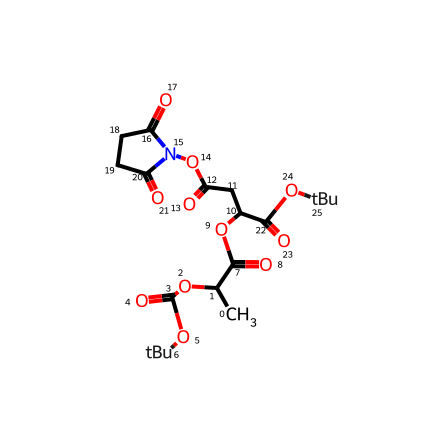 CC(OC(=O)OC(C)(C)C)C(=O)OC(CC(=O)ON1C(=O)CCC1=O)C(=O)OC(C)(C)C